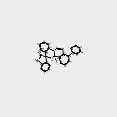 O=C1Nc2ccccc2C12O[C@@H]1c3cccc(-c4ccccc4)c3C=CN1c1ccccc12